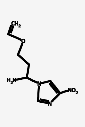 C=COCCC(N)n1cnc([N+](=O)[O-])c1